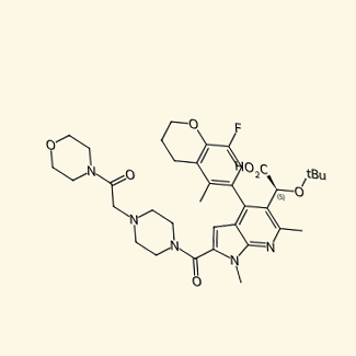 Cc1nc2c(cc(C(=O)N3CCN(CC(=O)N4CCOCC4)CC3)n2C)c(-c2cc(F)c3c(c2C)CCCO3)c1[C@H](OC(C)(C)C)C(=O)O